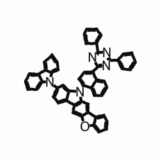 c1ccc(-c2nc(-c3ccccc3)nc(-c3ccc(-n4c5cc(-n6c7ccccc7c7ccccc76)ccc5c5cc6oc7ccccc7c6cc54)c4ccccc34)n2)cc1